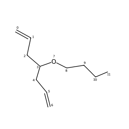 C=CCC(CC=C)OCCCC